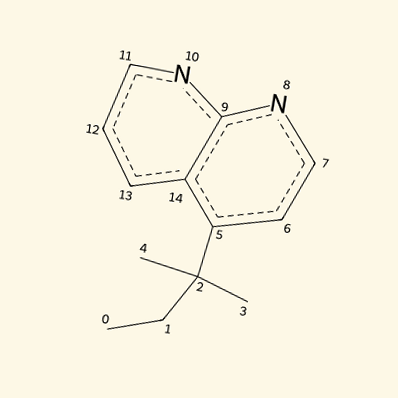 CCC(C)(C)c1ccnc2ncccc12